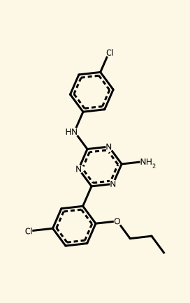 CCCOc1ccc(Cl)cc1-c1nc(N)nc(Nc2ccc(Cl)cc2)n1